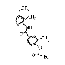 CCCCC(=O)Oc1ccc(C(=O)Nc2ncc(CC(F)(F)F)n2C)cc1C